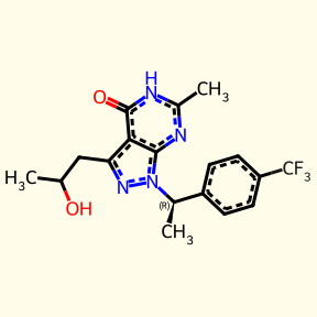 Cc1nc2c(c(CC(C)O)nn2[C@H](C)c2ccc(C(F)(F)F)cc2)c(=O)[nH]1